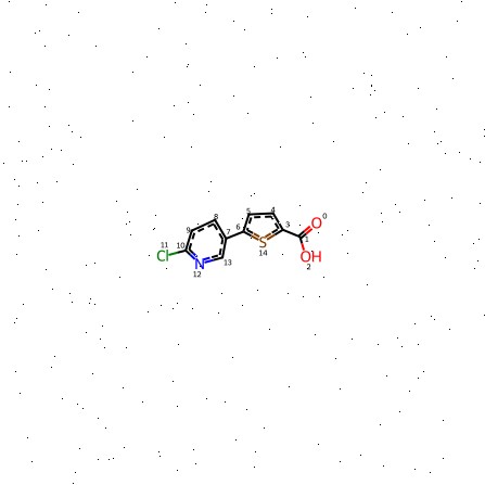 O=C(O)c1ccc(-c2ccc(Cl)nc2)s1